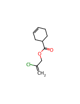 C=C(Cl)COC(=O)C1CC=CCC1